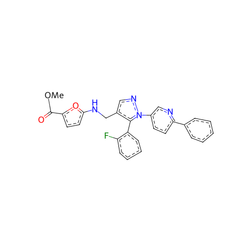 COC(=O)c1ccc(NCc2cnn(-c3ccc(-c4ccccc4)nc3)c2-c2ccccc2F)o1